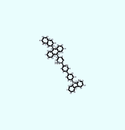 C1=CC(c2ccc(-c3ccc(-n4c5ccccc5c5cccnc54)cc3)cn2)NC=C1c1c2ccccc2c(-c2ccc3ccccc3c2)c2ccccc12